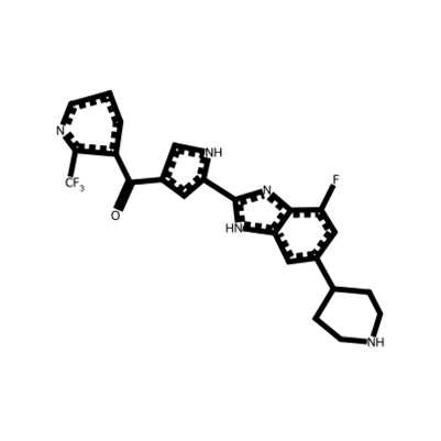 O=C(c1c[nH]c(-c2nc3c(F)cc(C4CCNCC4)cc3[nH]2)c1)c1cccnc1C(F)(F)F